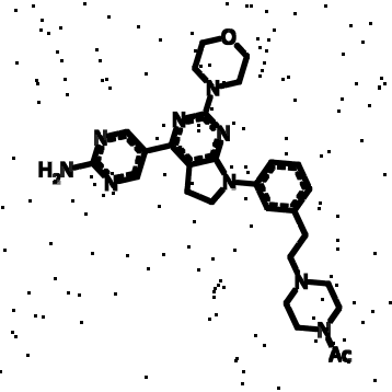 CC(=O)N1CCN(CCc2cccc(N3CCc4c(-c5cnc(N)nc5)nc(N5CCOCC5)nc43)c2)CC1